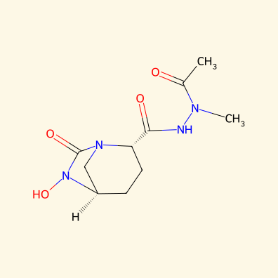 CC(=O)N(C)NC(=O)[C@@H]1CC[C@@H]2CN1C(=O)N2O